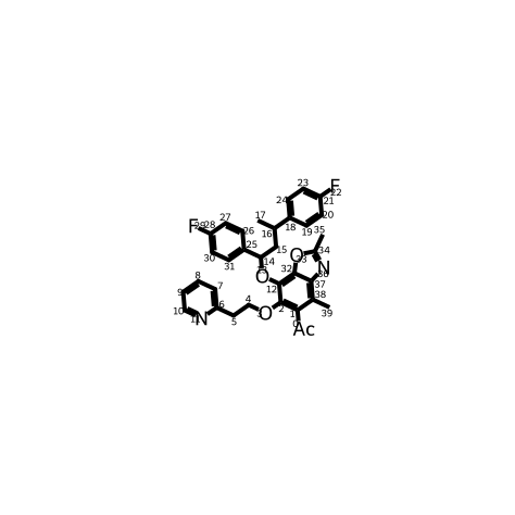 CC(=O)c1c(OCCc2ccccn2)c(OC(CC(C)c2ccc(F)cc2)c2ccc(F)cc2)c2oc(C)nc2c1C